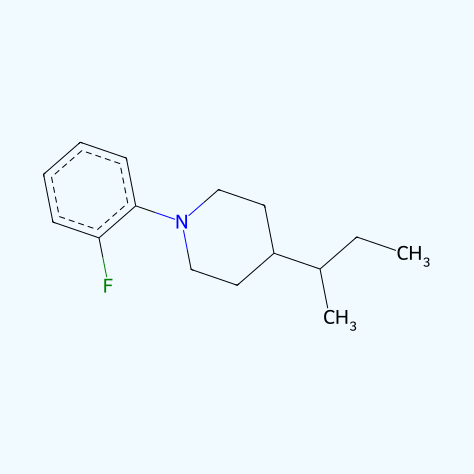 CCC(C)C1CCN(c2ccccc2F)CC1